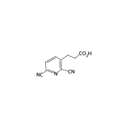 N#Cc1ccc(CCC(=O)O)c(C#N)n1